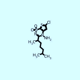 CC(C)CCCC(C)C1=NS(=O)(=O)c2sc(Cl)cc2N1N